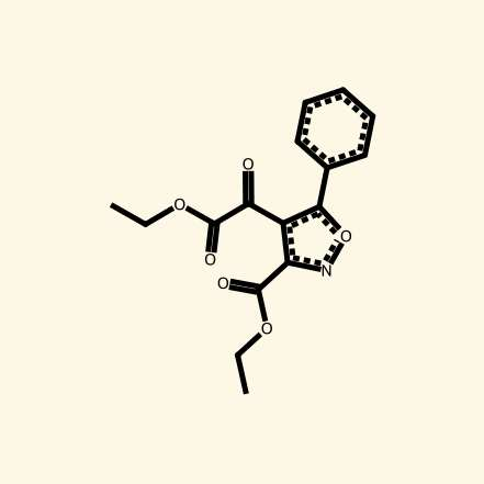 CCOC(=O)C(=O)c1c(C(=O)OCC)noc1-c1ccccc1